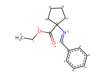 CCOC(=O)C1(N=Cc2ccccc2)CCCC1